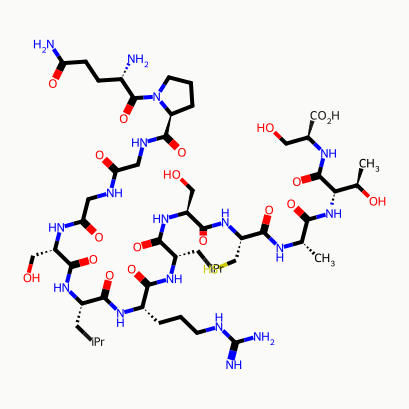 CC(C)C[C@H](NC(=O)[C@H](CO)NC(=O)CNC(=O)CNC(=O)[C@@H]1CCCN1C(=O)[C@@H](N)CCC(N)=O)C(=O)N[C@@H](CCCNC(=N)N)C(=O)N[C@@H](CC(C)C)C(=O)N[C@@H](CO)C(=O)N[C@@H](CS)C(=O)N[C@@H](C)C(=O)N[C@H](C(=O)N[C@@H](CO)C(=O)O)[C@@H](C)O